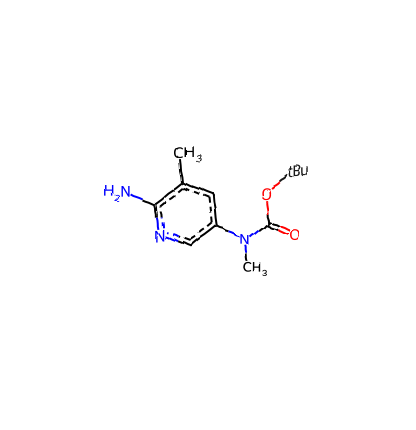 Cc1cc(N(C)C(=O)OC(C)(C)C)cnc1N